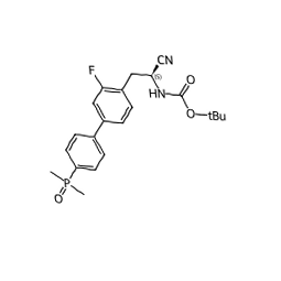 CC(C)(C)OC(=O)N[C@H](C#N)Cc1ccc(-c2ccc(P(C)(C)=O)cc2)cc1F